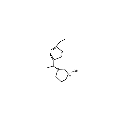 CCc1ccc(C(C)N2CCC[C@@H](O)C2)cn1